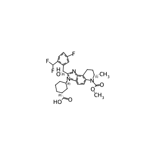 COC(=O)N1c2ccc3c(nc([C@H](O)c4cc(F)ccc4C(F)F)n3[C@@H]3CCC[C@@H](C(=O)O)C3)c2CC[C@@H]1C